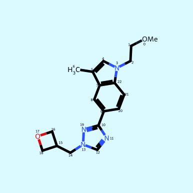 COCCn1cc(C)c2cc(-c3ncn(CC4COC4)n3)ccc21